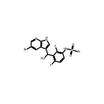 CC(C)S(=O)(=O)Nc1ccc(F)c(C(O)c2c[nH]c3ncc(Br)cc23)c1F